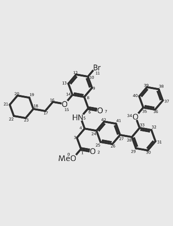 COC(=O)CC(NC(=O)c1cc(Br)ccc1OCCC1CCCCC1)c1ccc(-c2ccccc2Oc2ccccc2)cc1